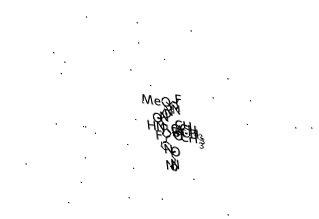 COc1cc(F)cnc1N1CCN(C(=O)c2cc3c(B4OC(C)(C)C(C)(C)O4)cc(C4=CCCN(C(=O)CCn5cccn5)C4)c(F)c3[nH]2)CC1